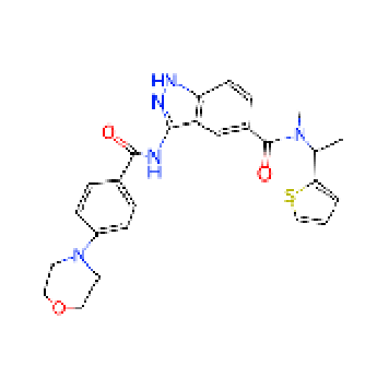 CC(c1cccs1)N(C)C(=O)c1ccc2[nH]nc(NC(=O)c3ccc(N4CCOCC4)cc3)c2c1